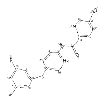 O=C(Nc1ccc(Cc2cc(F)cc(F)c2)cn1)c1cnc(Cl)cn1